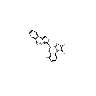 COc1ccccc1-c1csc(COc2c(C)cccc2-n2nnn(C)c2=O)n1